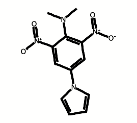 CN(C)c1c([N+](=O)[O-])cc(-n2cccc2)cc1[N+](=O)[O-]